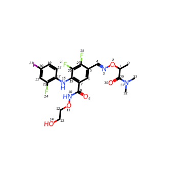 CC(ON=Cc1cc(C(=O)NOCCO)c(Nc2ccc(I)cc2F)c(F)c1F)C(=O)N(C)C